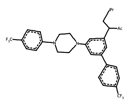 CC(=O)C(CC(C)C)c1cc(-c2ccc(C(F)(F)F)cc2)cc(N2CCN(c3ccc(C(F)(F)F)cc3)CC2)c1